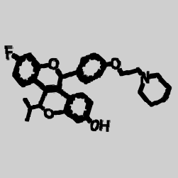 CC(C)C1Oc2cc(O)ccc2C2=C1c1ccc(F)cc1OC2c1ccc(OCCN2CCCCC2)cc1